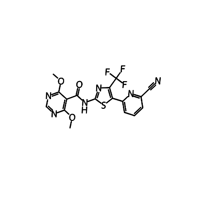 COc1ncnc(OC)c1C(=O)Nc1nc(C(F)(F)F)c(-c2cccc(C#N)n2)s1